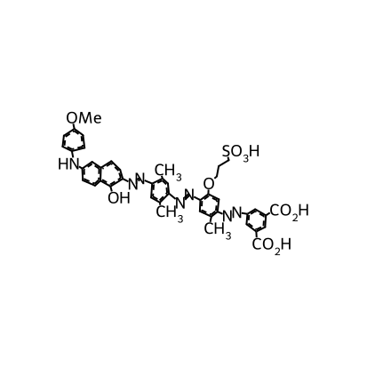 COc1ccc(Nc2ccc3c(O)c(N=Nc4cc(C)c(N=Nc5cc(C)c(N=Nc6cc(C(=O)O)cc(C(=O)O)c6)cc5OCCCS(=O)(=O)O)cc4C)ccc3c2)cc1